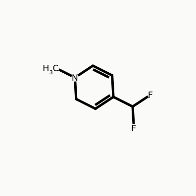 CN1C=CC(C(F)F)=CC1